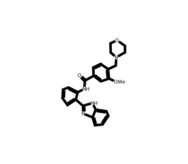 COc1cc(C(=O)Nc2ccccc2-c2nc3ccccc3[nH]2)ccc1CN1CCOCC1